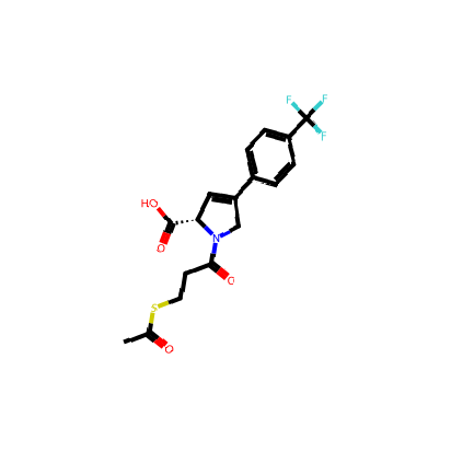 CC(=O)SCCC(=O)N1CC(c2ccc(C(F)(F)F)cc2)=C[C@H]1C(=O)O